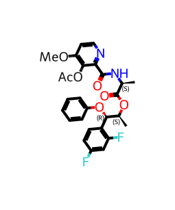 COc1ccnc(C(=O)N[C@@H](C)C(=O)O[C@@H](C)[C@H](Oc2ccccc2)c2ccc(F)cc2F)c1OC(C)=O